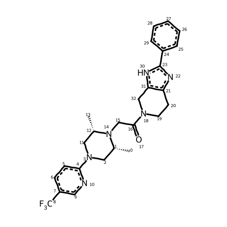 C[C@@H]1CN(c2ccc(C(F)(F)F)cn2)C[C@H](C)N1CC(=O)N1CCc2nc(-c3ccccc3)[nH]c2C1